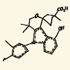 Cc1cc(-n2c3c(c4c(O)cccc42)C2(CC(C)(C(=O)O)C2)OCC3(C)C)ccc1F